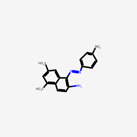 Nc1ccc2c(S(=O)(=O)O)cc(S(=O)(=O)O)cc2c1N=Nc1ccc([N+](=O)[O-])cc1